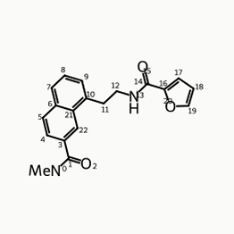 CNC(=O)c1ccc2cccc(CCNC(=O)c3ccco3)c2c1